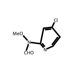 CON(C=O)c1cc(Cl)ccn1